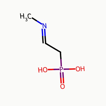 C/N=C/CP(=O)(O)O